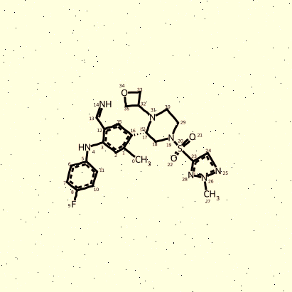 Cc1cc(Nc2ccc(F)cc2)c(C=N)cc1[C@H]1CN(S(=O)(=O)c2cnn(C)n2)CCN1C1COC1